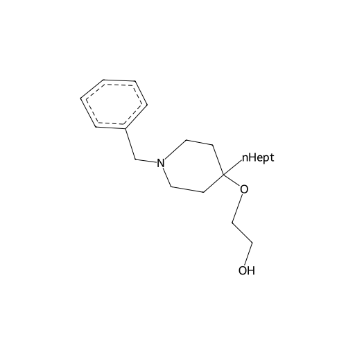 CCCCCCCC1(OCCO)CCN(Cc2ccccc2)CC1